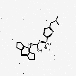 CN(C)Cc1ccc(S(N)(=O)=NC(O)Nc2c3c(cc4c2CCC4)CCC3)cn1